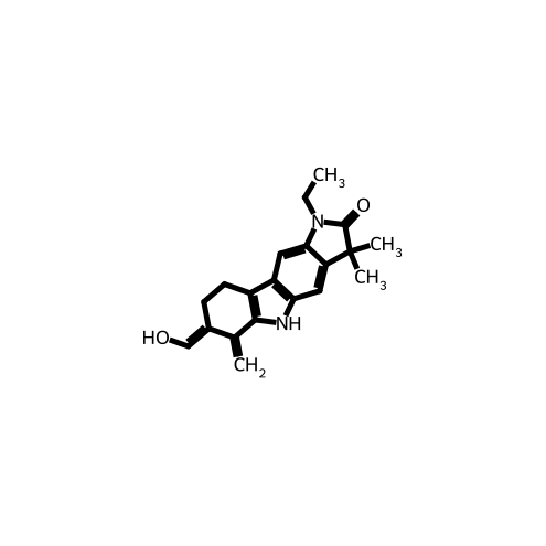 C=C1/C(=C/O)CCc2c1[nH]c1cc3c(cc21)N(CC)C(=O)C3(C)C